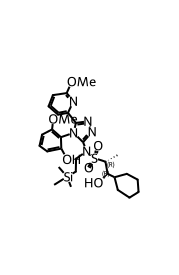 COC1=NC(c2nnc(N(CC[Si](C)(C)C)S(=O)(=O)[C@H](C)[C@H](O)C3CCCCC3)n2-c2c(O)cccc2OC)=C=C=C1